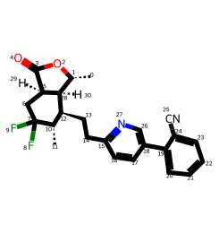 C[C@H]1OC(=O)[C@@H]2CC(F)(F)[C@@H](C)[C@H](CCc3ccc(-c4ccccc4C#N)cn3)[C@H]12